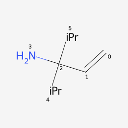 C=CC(N)(C(C)C)C(C)C